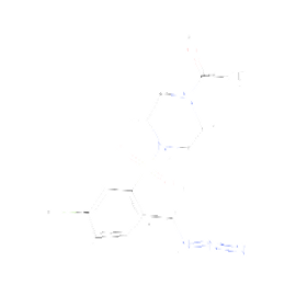 [N-]=[N+]=NCc1ccc(F)cc1S(=O)(=O)N1CCN(C(=O)C(F)(F)F)CC1